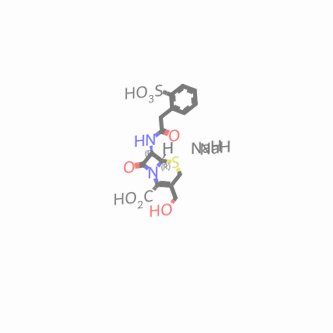 O=C(Cc1ccccc1S(=O)(=O)O)N[C@@H]1C(=O)N2C(C(=O)O)=C(CO)CS[C@H]12.[NaH].[NaH]